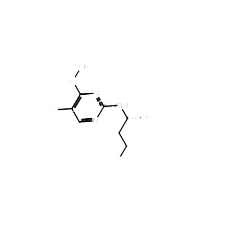 COc1nc(N[C@H](C)CCO)ncc1Br